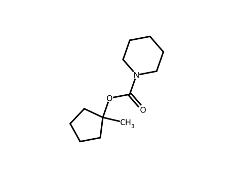 CC1(OC(=O)N2CCCCC2)CCCC1